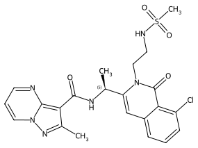 Cc1nn2cccnc2c1C(=O)N[C@@H](C)c1cc2cccc(Cl)c2c(=O)n1CCNS(C)(=O)=O